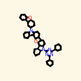 C1=CC2c3c(ccc4c3oc3c4ccc4c3c3ccccc3n4-c3ccc4oc5ccccc5c4c3)N(c3nc(-c4ccccc4)nc(-c4ccccc4)n3)C2C=C1